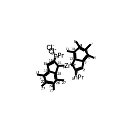 CCCC1=Cc2c(C)c(C)c(C)c(C)c2[CH]1[Zr+2][CH]1C(CCC)=Cc2c(C)c(C)c(C)c(C)c21.[Cl-].[Cl-]